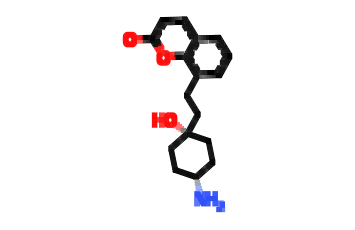 N[C@H]1CC[C@](O)(CCc2cccc3ccc(=O)oc23)CC1